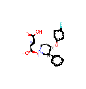 Fc1ccc(O[C@H]2CCNC[C@@H]2c2ccccc2)cc1.O=C(O)/C=C/C(=O)O